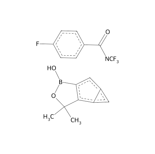 CC1(C)OB(O)c2cc3cc-3c21.O=C(NC(F)(F)F)c1ccc(F)cc1